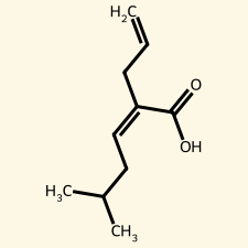 C=CCC(=CCC(C)C)C(=O)O